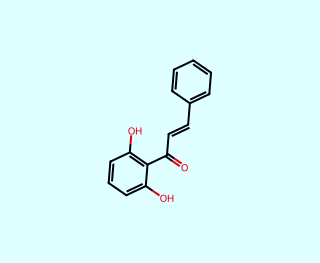 O=C(C=Cc1ccccc1)c1c(O)cccc1O